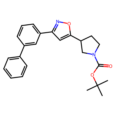 CC(C)(C)OC(=O)N1CCC(c2cc(-c3cccc(-c4ccccc4)c3)no2)C1